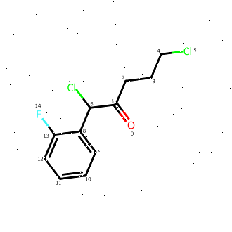 O=C(CCCCl)C(Cl)c1ccccc1F